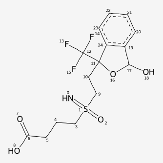 N=S(=O)(CCCC(=O)O)CCC1(C(F)(F)F)OC(O)c2ccccc21